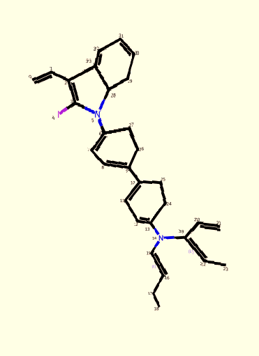 C=CC1=C(I)N(C2=CC=C(C3=CC=C(N(/C=C/CC)/C(C=C)=C/C)CC3)CC2)C2CC=CC=C12